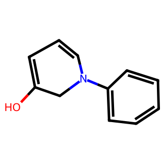 OC1=CC=CN(c2ccccc2)C1